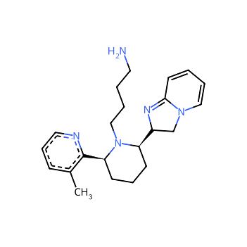 Cc1cccnc1[C@@H]1CCC[C@H](C2CN3C=CC=CC3=N2)N1CCCCN